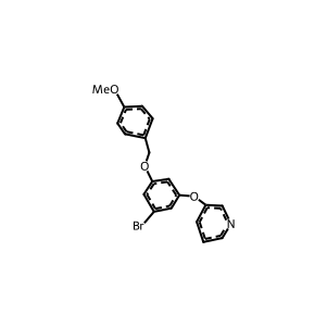 COc1ccc(COc2cc(Br)cc(Oc3cccnc3)c2)cc1